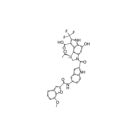 COc1cccc2cc(C(=O)Nc3ccc4[nH]c(C(=O)N5C[C@@H](C(C)Cl)c6c5cc(O)c5[nH]c(C(F)(F)F)c(C(=O)O)c65)cc4c3)oc12